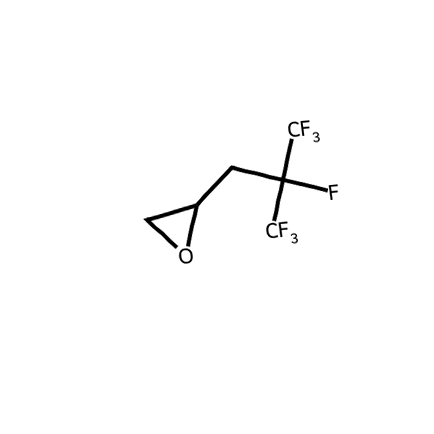 FC(F)(F)C(F)(CC1CO1)C(F)(F)F